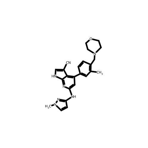 Cc1cc(-c2cc(Nc3ccn(C)n3)nc3[nH]cc(C#N)c23)ccc1CN1CCOCC1